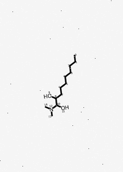 CCCCCCCCC(O)C(O)N(C)C